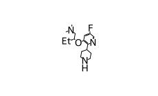 CC[C@@H](CN(C)C)Oc1cc(F)cnc1C1CCNCC1